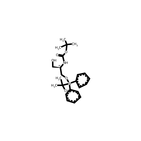 CC(C)(C)OC(=O)N[C@H](CO)CO[Si](c1ccccc1)(c1ccccc1)C(C)(C)C